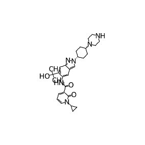 CC(C)(O)c1cc2nn([C@H]3CC[C@H](N4CCNCC4)CC3)cc2cc1NC(=O)c1cccn(C2CC2)c1=O